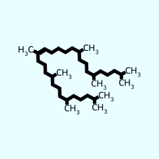 CC(=CC[CH]CCC(C)CCCC(C)CCCC(C)C)CCCC(C)CCCC(C)CCCC(C)C